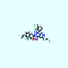 Cc1cc(C(=NO)N[C@@H](CCl)Cc2ccc(C)c(Cl)c2)c(Oc2cccc(Cl)c2F)nn1